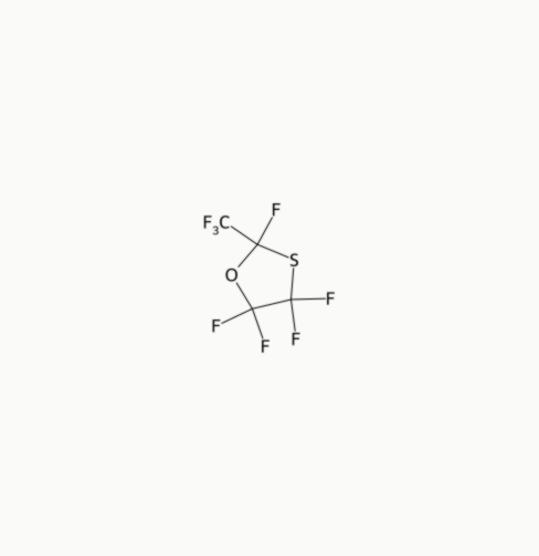 FC(F)(F)C1(F)OC(F)(F)C(F)(F)S1